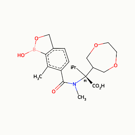 Cc1c(C(=O)N(C)[C@](C(=O)O)(C(C)C)C2COCCOC2)ccc2c1B(O)OC2